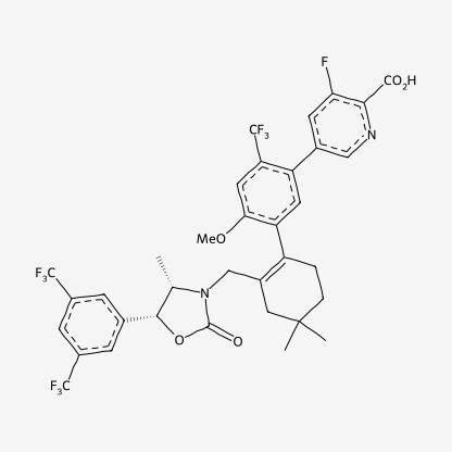 COc1cc(C(F)(F)F)c(-c2cnc(C(=O)O)c(F)c2)cc1C1=C(CN2C(=O)O[C@H](c3cc(C(F)(F)F)cc(C(F)(F)F)c3)[C@@H]2C)CC(C)(C)CC1